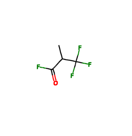 CC(C(=O)F)C(F)(F)F